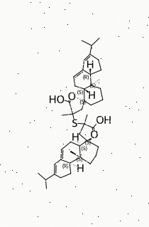 CC(C)C1=CC2=CC[C@H]3[C@](C)(CC(C)(SC(C)(C[C@]4(C)CCC[C@]5(C)[C@H]6CCC(C(C)C)=CC6=CC[C@@H]45)C(=O)O)C(=O)O)CCC[C@]3(C)[C@H]2CC1